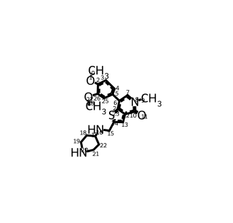 COc1ccc(-c2cn(C)c(=O)c3cc(CNC4CCNCC4)sc23)cc1OC